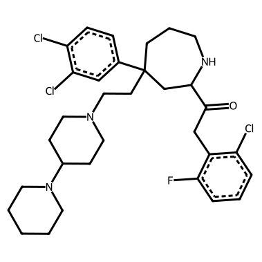 O=C(Cc1c(F)cccc1Cl)C1CC(CCN2CCC(N3CCCCC3)CC2)(c2ccc(Cl)c(Cl)c2)CCCN1